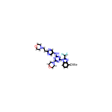 COc1cccc2c1nc(C(F)F)n2-c1nc(Nc2cnc(CCN3CCOCC3)nc2)nc(N2CCOCC2)n1